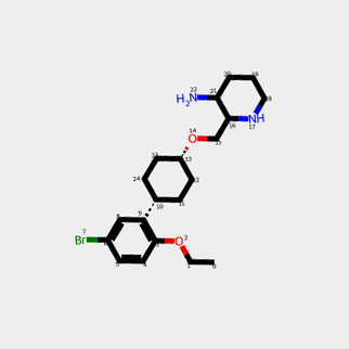 CCOc1ccc(Br)cc1[C@H]1CC[C@@H](OCC2NCCCC2N)CC1